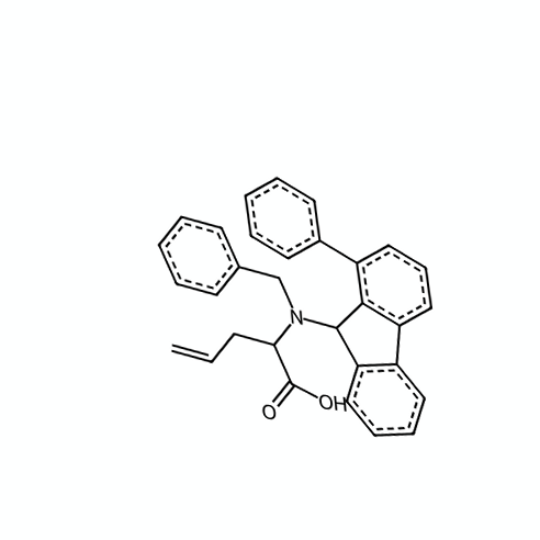 C=CCC(C(=O)O)N(Cc1ccccc1)C1c2ccccc2-c2cccc(-c3ccccc3)c21